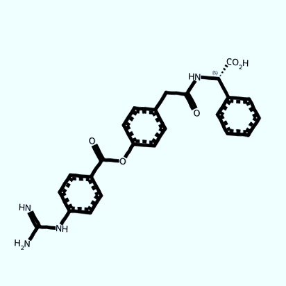 N=C(N)Nc1ccc(C(=O)Oc2ccc(CC(=O)N[C@H](C(=O)O)c3ccccc3)cc2)cc1